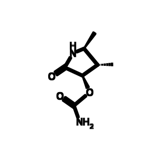 C[C@H]1[C@H](C)NC(=O)[C@@H]1OC(N)=O